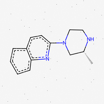 C[C@@H]1CN(c2ccc3ccccc3n2)CCN1